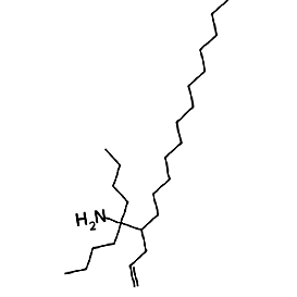 C=CCC(CCCCCCCCCCCCC)C(N)(CCCC)CCCC